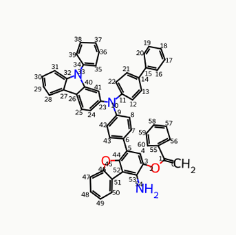 C=C(Oc1cc(-c2ccc(N(c3ccc(-c4ccccc4)cc3)c3ccc4c5ccccc5n(-c5ccccc5)c4c3)cc2)c2oc3ccccc3c2c1N)c1ccccc1